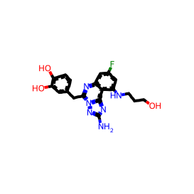 Nc1nc2c3c(NCCCO)cc(F)cc3nc(Cc3ccc(O)c(O)c3)n2n1